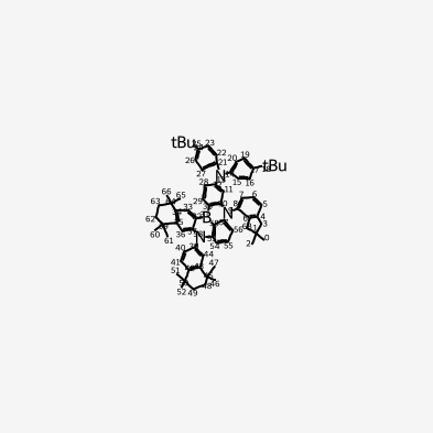 CC1(C)Cc2cccc(N3c4cc(N(c5ccc(C(C)(C)C)cc5)c5ccc(C(C)(C)C)cc5)ccc4B4c5cc6c(cc5N(c5ccc7c(c5)C(C)(C)CCC7(C)C)c5cccc3c54)C(C)(C)CCC6(C)C)c2C1